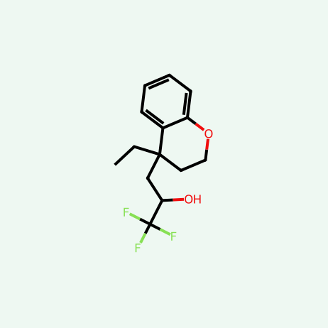 CCC1(CC(O)C(F)(F)F)CCOc2ccccc21